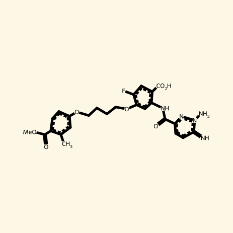 COC(=O)c1ccc(OCCCCOc2cc(NC(=O)c3ccc(=N)n(N)n3)c(C(=O)O)cc2F)cc1C